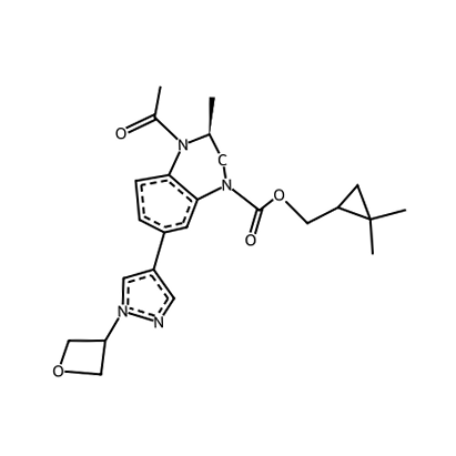 CC(=O)N1c2ccc(-c3cnn(C4COC4)c3)cc2N(C(=O)OCC2CC2(C)C)C[C@@H]1C